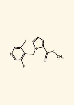 COC(=O)c1cccn1Cc1c(F)cncc1F